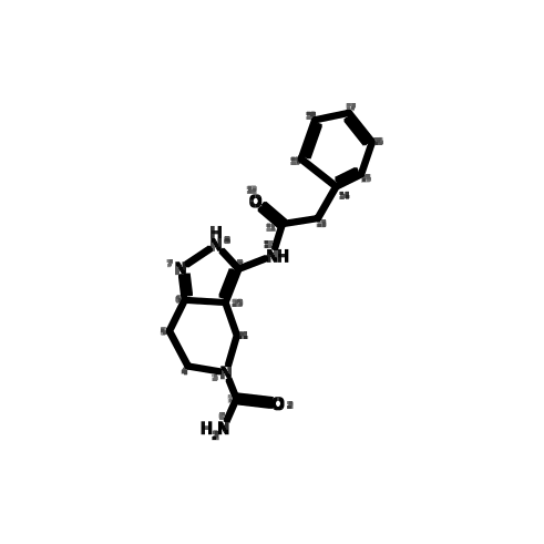 NC(=O)N1CCc2n[nH]c(NC(=O)Cc3ccccc3)c2C1